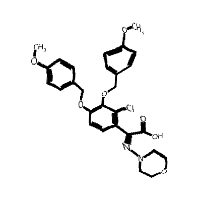 COc1ccc(COc2ccc(/C(=N/N3CCOCC3)C(=O)O)c(Cl)c2OCc2ccc(OC)cc2)cc1